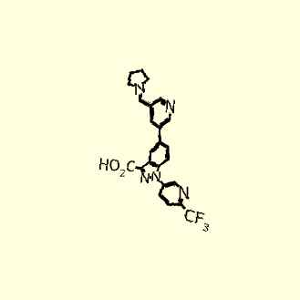 O=C(O)c1nn(-c2ccc(C(F)(F)F)nc2)c2ccc(-c3cncc(CN4CCCC4)c3)cc12